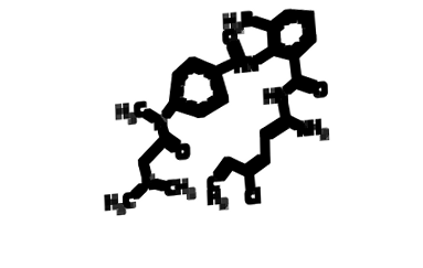 Bc1cccc(C(=O)N/C(N)=C/C=C(/Cl)C=C)c1NC(=O)c1ccc(N(C)C(=O)CN(C)C)cc1